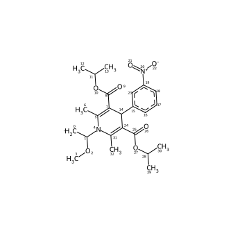 [CH2]C(OC)N1C(C)=C(C(=O)OC(C)C)C(c2cccc([N+](=O)[O-])c2)C(C(=O)OC(C)C)=C1C